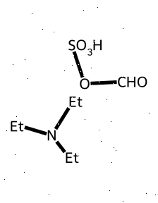 CCN(CC)CC.O=COS(=O)(=O)O